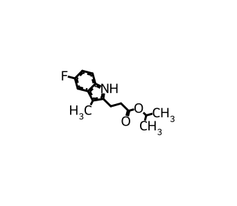 Cc1c(CCC(=O)OC(C)C)[nH]c2ccc(F)cc12